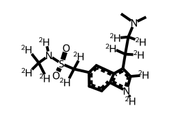 [2H]c1c(C([2H])([2H])C([2H])([2H])N(C)C)c2cc(C([2H])([2H])S(=O)(=O)N([2H])C([2H])([2H])[2H])ccc2n1[2H]